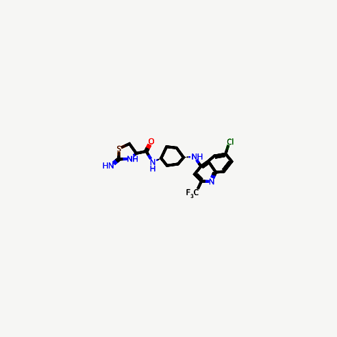 N=C1NC(C(=O)N[C@H]2CC[C@@H](Nc3cc(C(F)(F)F)nc4ccc(Cl)cc34)CC2)CS1